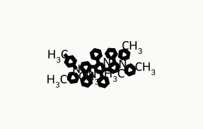 Cc1ccc(N(c2cc(C)ccc2C)c2ccc3c4c(-c5ccccc5)c5c(c(-c6ccccc6)c4n4c6ccccc6c2c34)c2ccc(N(c3ccc(C)cc3)c3cc(C)ccc3C)c3c4ccccc4n5c23)cc1